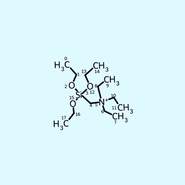 CCO[Si](C[N+](CC)(CC)CC)(OCC)OCC